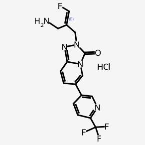 Cl.NC/C(=C\F)Cn1nc2ccc(-c3ccc(C(F)(F)F)nc3)cn2c1=O